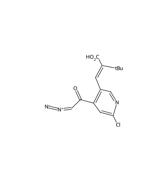 CC(C)(C)/C(=C\c1cnc(Cl)cc1C(=O)C=[N+]=[N-])C(=O)O